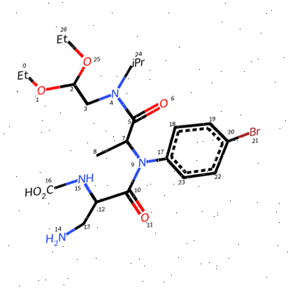 CCOC(CN(C(=O)C(C)N(C(=O)C(CN)NC(=O)O)c1ccc(Br)cc1)C(C)C)OCC